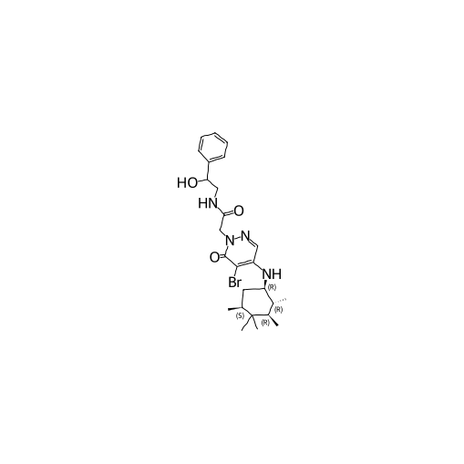 C[C@@H]1[C@@H](C)C(C)(C)[C@@H](C)C[C@H]1Nc1cnn(CC(=O)NCC(O)c2ccccc2)c(=O)c1Br